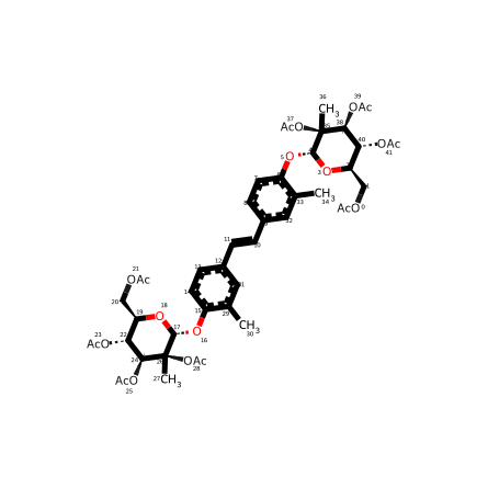 CC(=O)OC[C@H]1O[C@H](Oc2ccc(C=Cc3ccc(O[C@H]4O[C@H](COC(C)=O)[C@@H](OC(C)=O)[C@H](OC(C)=O)[C@]4(C)OC(C)=O)c(C)c3)cc2C)[C@@](C)(OC(C)=O)[C@@H](OC(C)=O)[C@@H]1OC(C)=O